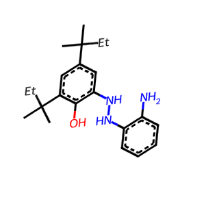 CCC(C)(C)c1cc(NNc2ccccc2N)c(O)c(C(C)(C)CC)c1